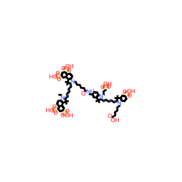 CC[N+]1=C(/C=C/C=C/C=C2/N(CCCCCC(=O)NCc3ccc4c(c3)C(C)(C)C(/C=C/C=C/C=C3/N(CCCCCC(=O)O)c5ccc(S(=O)(=O)O)cc5C3(C)C)=[N+]4CCCS(=O)(=O)O)c3ccc4c(S(=O)(=O)O)cc(S(=O)(=O)O)cc4c3C2(C)C)C(C)(C)c2c1ccc1c(S(=O)(=O)O)cc(S(=O)(=O)O)cc21